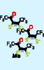 O=C(/C([S-])=C(/[S-])C(F)(F)F)C(F)(F)F.O=C(/C([S-])=C(/[S-])C(F)(F)F)C(F)(F)F.O=C(/C([S-])=C(/[S-])C(F)(F)F)C(F)(F)F.[Mo]